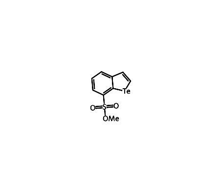 COS(=O)(=O)c1cccc2cc[te]c12